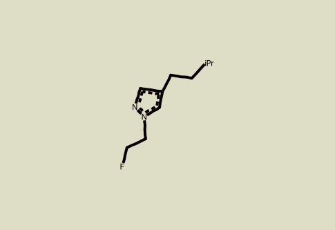 CC(C)CCc1cnn(CCF)c1